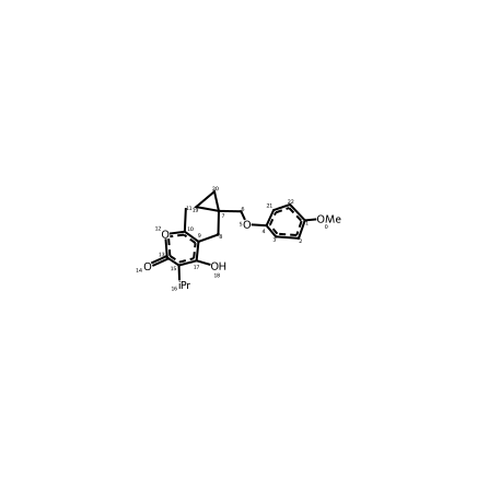 COc1ccc(OCC2(Cc3c(C)oc(=O)c(C(C)C)c3O)CC2)cc1